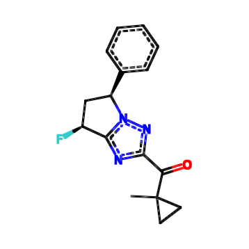 CC1(C(=O)c2nc3n(n2)[C@H](c2ccccc2)C[C@@H]3F)CC1